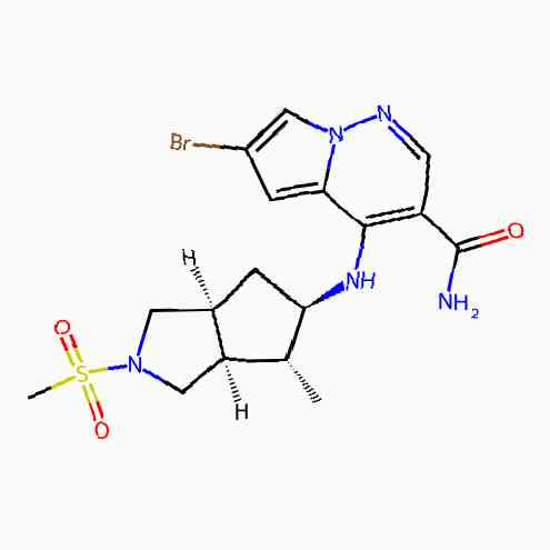 C[C@@H]1[C@H]2CN(S(C)(=O)=O)C[C@H]2C[C@H]1Nc1c(C(N)=O)cnn2cc(Br)cc12